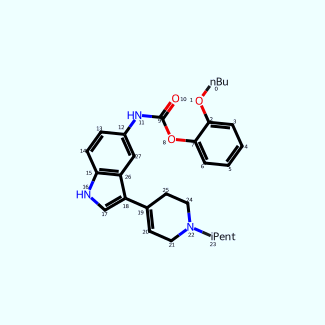 CCCCOc1ccccc1OC(=O)Nc1ccc2[nH]cc(C3=CCN(C(C)CCC)CC3)c2c1